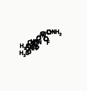 COC(=O)N[C@H](C(=O)N1CCC[C@H]1c1nc2cc([C@H]3CC[C@H](c4ccc(N)cc4)N3C3=CC=C(F)CC3)ccc2[nH]1)C(C)C